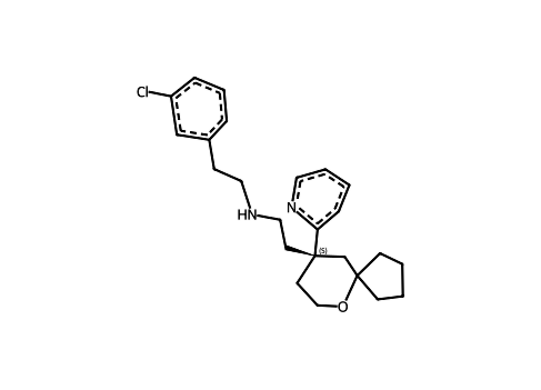 Clc1cccc(CCNCC[C@]2(c3ccccn3)CCOC3(CCCC3)C2)c1